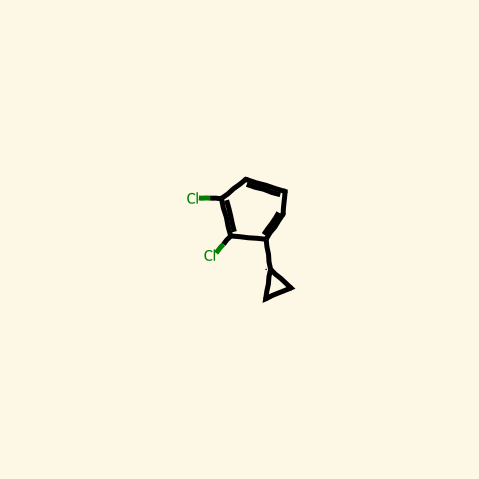 Clc1cccc([C]2CC2)c1Cl